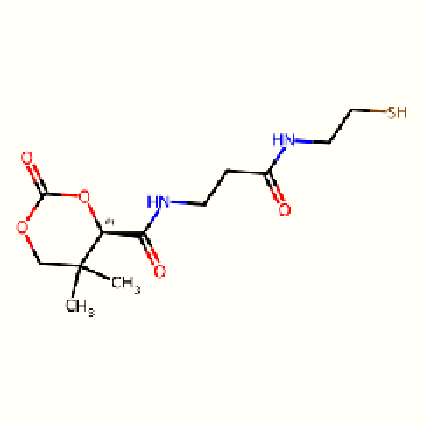 CC1(C)COC(=O)O[C@H]1C(=O)NCCC(=O)NCCS